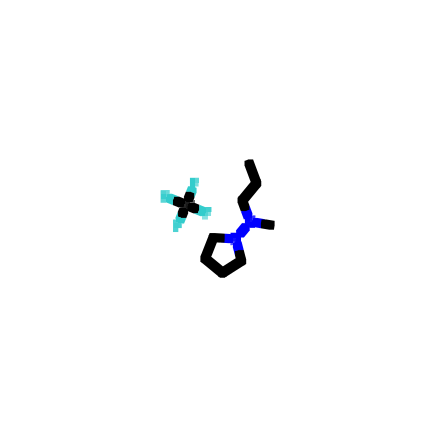 CCCN(C)N1CCCC1.F[B-](F)(F)F